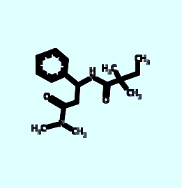 CCC(C)(C)C(=O)NC(CC(=O)N(C)C)c1ccccc1